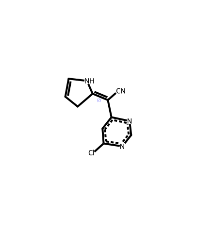 N#C/C(=C1/CC=CN1)c1cc(Cl)ncn1